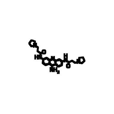 Nc1c2ccc(NC(=O)CCN3CCCC3)cc2nc2cc(NC(=O)CCN3CCCC3)ccc12